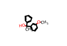 COc1cccc([C@@](C)(O)c2ccccc2)c1